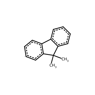 CC1(C)c2[c]cccc2-c2cc[c]cc21